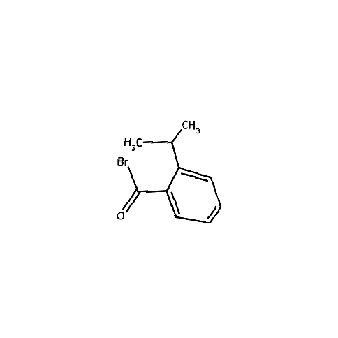 CC(C)c1ccccc1C(=O)Br